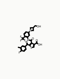 Cc1cc(-c2nn(-c3cc(N4CC(CO)C4)ccc3C(F)(F)F)c(=O)c3c(C(=O)O)csc23)ccc1F